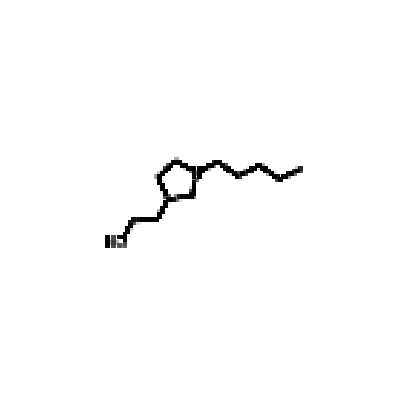 CCCCCN1CCC(CCO)C1